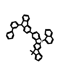 CC1(C)c2ccccc2-c2cc3c(cc21)c1cc(-c2ccc4c(c2)-c2ccccc2C4c2cccc(-c4ccccc4)c2)ccc1n3-c1cccc2ccccc12